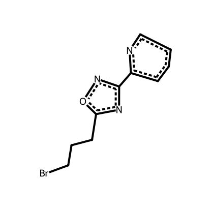 BrCCCc1nc(-c2ccccn2)no1